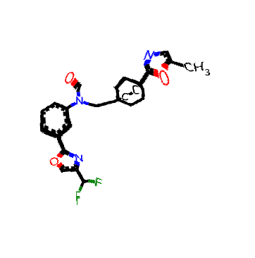 Cc1cnc(C23CCC(CN(C=O)c4cccc(-c5nc(C(F)F)co5)c4)(CC2)CC3)o1